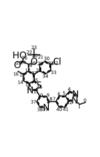 CCn1ncc2cc(-c3cc(-c4nc5cc(C)c(C(OC(C)(C)C)C(=O)O)c(-c6ccc(Cl)cc6)c5s4)ccn3)ccc21